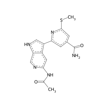 CSc1cc(C(N)=O)cc(-c2c[nH]c3cnc(NC(C)=O)cc23)n1